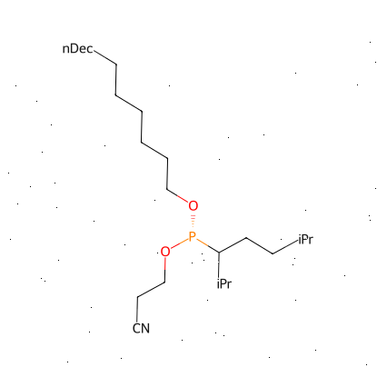 CCCCCCCCCCCCCCCCO[P@@](OCCC#N)C(CCC(C)C)C(C)C